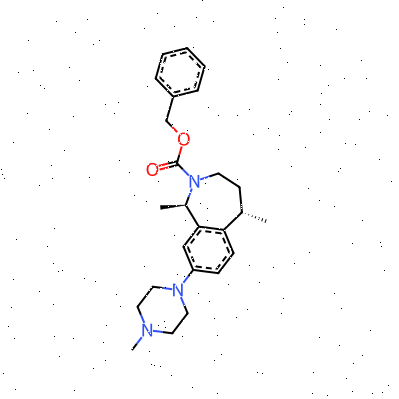 C[C@@H]1c2cc(N3CCN(C)CC3)ccc2[C@@H](C)CCN1C(=O)OCc1ccccc1